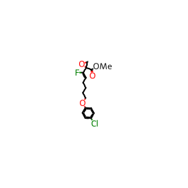 COC(=O)C1(C(F)=CCCCCOc2ccc(Cl)cc2)CO1